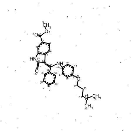 COC(=O)c1ccc2c(c1)NC(=O)C2=C(Nc1ccc(OCCCN(C)C)cc1)c1ccccc1